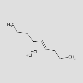 CCCC=CCCCC.Cl.Cl